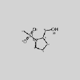 CS(=O)(=O)N1CCCC1CO